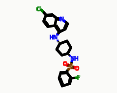 O=S(=O)(N[C@H]1CC[C@@H](Nc2ccnc3cc(Cl)ccc23)CC1)c1ccccc1F